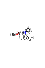 CC(C)(C)O[SiH2]CCCN(CCC(=O)O)c1ccccc1